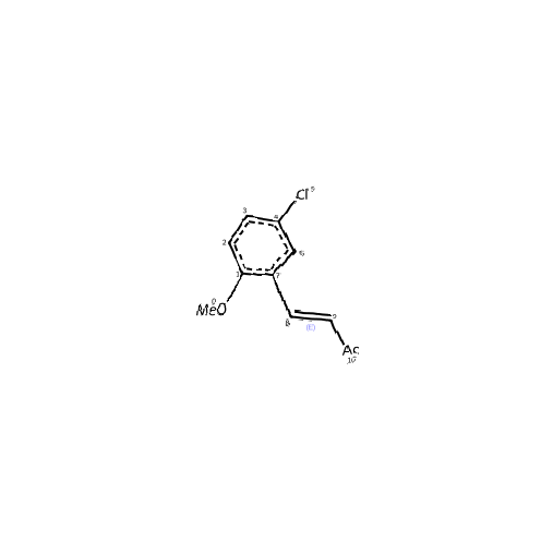 COc1ccc(Cl)cc1/C=C/C(C)=O